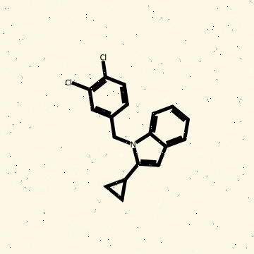 Clc1ccc(Cn2c(C3CC3)[c]c3ccccc32)cc1Cl